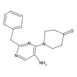 Nc1cnc(Cc2ccccc2)nc1N1CCC(=O)CC1